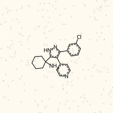 NC1(c2[nH]nc(-c3cccc(Cl)c3)c2-c2ccncc2)CCCCC1